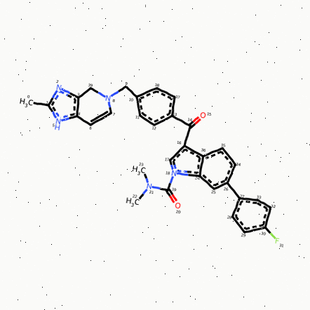 Cc1nc2c([nH]1)C=CN(Cc1ccc(C(=O)c3cn(C(=O)N(C)C)c4cc(-c5ccc(F)cc5)ccc34)cc1)C2